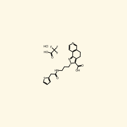 Cl.O=C(Cc1cccs1)NCCCn1nc2c(c1C(=O)O)CCc1cnccc1-2.O=C(O)C(F)(F)F